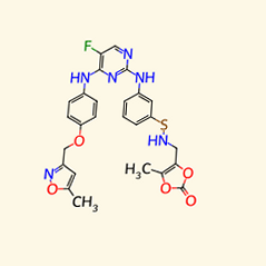 Cc1cc(COc2ccc(Nc3nc(Nc4cccc(SNCc5oc(=O)oc5C)c4)ncc3F)cc2)no1